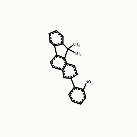 CC1(C)c2ccccc2-c2ccc3cc(-c4ccccc4[N+](=O)[O-])ccc3c21